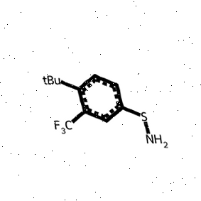 CC(C)(C)c1ccc(SN)cc1C(F)(F)F